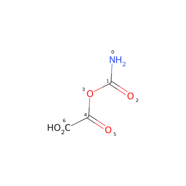 NC(=O)OC(=O)C(=O)O